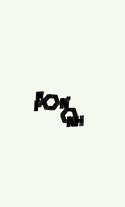 CN(C1CCNCC1)C1CCC(F)(F)CC1